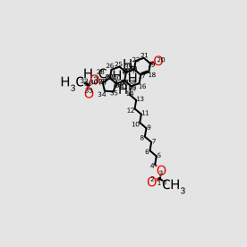 CC(=O)OCCCCCCCCCCC[C@@H]1CC2=CC(=O)CC[C@@H]2[C@H]2CC[C@]3(C)[C@@H](OC(C)=O)CC[C@H]3[C@H]12